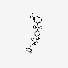 COc1cccc(S(=O)(=O)c2ccc(NC(=O)NCc3cnco3)cc2)c1